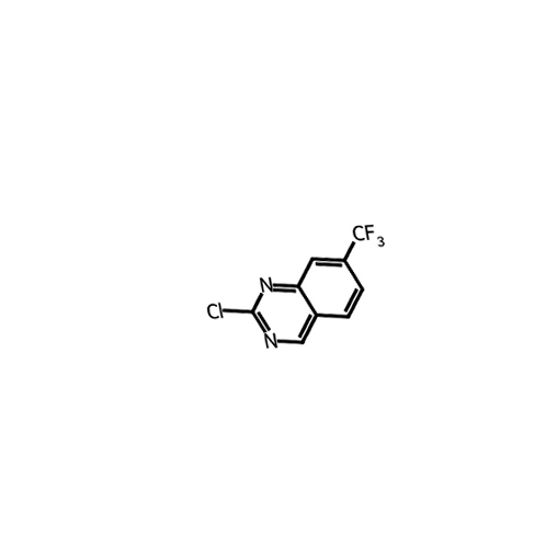 FC(F)(F)c1ccc2cnc(Cl)nc2c1